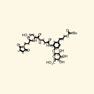 CC(C)(C)C(=O)OC/C=C/c1ccc(O[C@@H]2O[C@H](C(=O)O)[C@@H](O)[C@H](O)[C@H]2O)c(NC(=O)CCNC(=O)[C@H](CS(=O)(=O)O)NC(=O)CCN2C(=O)C=CC2=O)c1